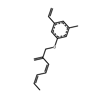 C=Cc1cc(C)cc(OCC(=C)/C=C\C=C/C)c1